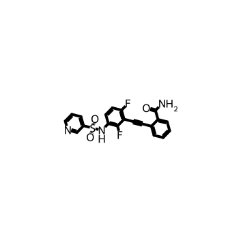 NC(=O)c1ccccc1C#Cc1c(F)ccc(NS(=O)(=O)c2cccnc2)c1F